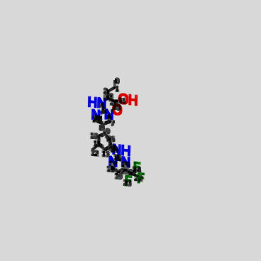 CCC[C@H](Nc1ncc(-c2cc(C)cc(Nc3nccc(C(F)(F)F)n3)c2)cn1)C(=O)O